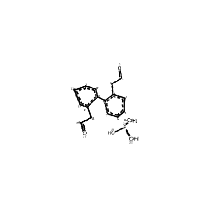 O=CCc1ccccc1-c1ccccc1CC=O.OP(O)O